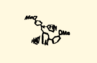 COc1ccc(N(Cc2ccnc(-c3cccc(OC)c3)c2)C2CCNCC2)cc1.Cl.Cl